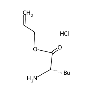 C=CCOC(=O)[C@@H](N)C(C)CC.Cl